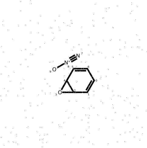 C1=CC2OC2C=C1.N#[N+][O-]